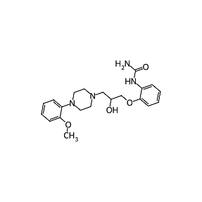 COc1ccccc1N1CCN(CC(O)COc2ccccc2NC(N)=O)CC1